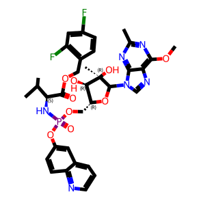 COc1nc(C)nc2c1ncn2C1O[C@H](COP(=O)(N[C@H](C(=O)OCc2ccc(F)cc2F)C(C)C)Oc2ccc3ncccc3c2)[C@@H](O)[C@@]1(C)O